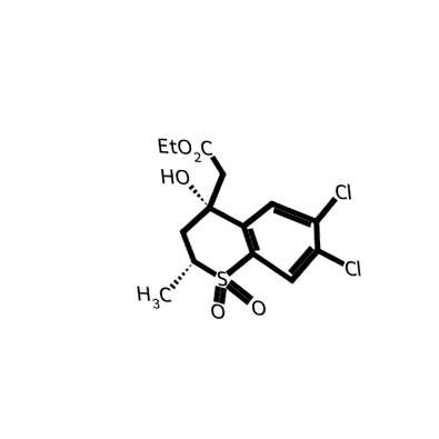 CCOC(=O)C[C@]1(O)C[C@@H](C)S(=O)(=O)c2cc(Cl)c(Cl)cc21